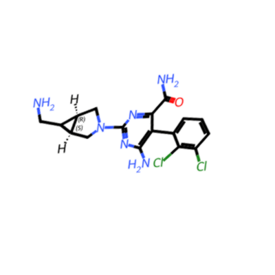 NCC1[C@H]2CN(c3nc(N)c(-c4cccc(Cl)c4Cl)c(C(N)=O)n3)C[C@@H]12